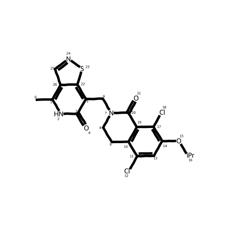 Cc1[nH]c(=O)c(CN2CCc3c(Cl)cc(OC(C)C)c(Cl)c3C2=O)c2sncc12